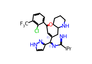 CC(C)C(=N)/N=C(\C(=C\C(=O)c1cccc(C(F)(F)F)c1Cl)CC1CCCCN1)c1cc[nH]n1